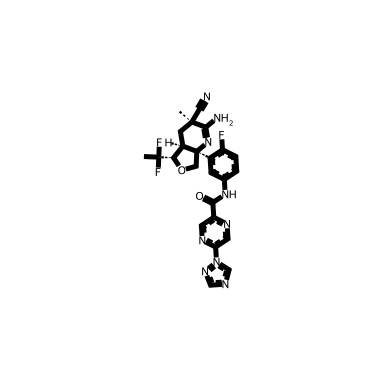 CC(F)(F)[C@H]1OC[C@]2(c3cc(NC(=O)c4cnc(-n5cncn5)cn4)ccc3F)N=C(N)[C@](C)(C#N)C[C@H]12